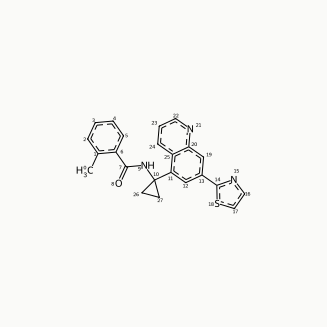 Cc1ccccc1C(=O)NC1(c2cc(-c3nccs3)cc3ncccc23)CC1